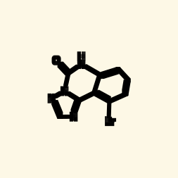 O=c1[nH]c2cccc(Br)c2c2ncnn12